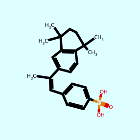 C/C(=C/c1ccc(P(=O)(O)O)cc1)c1ccc2c(c1)C(C)(C)CCC2(C)C